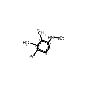 CCNc1ccc(C(C)C)c(C)c1C